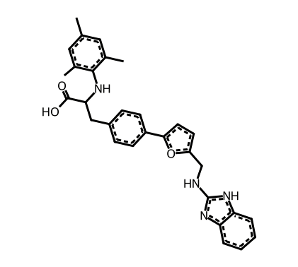 Cc1cc(C)c(NC(Cc2ccc(-c3ccc(CNc4nc5ccccc5[nH]4)o3)cc2)C(=O)O)c(C)c1